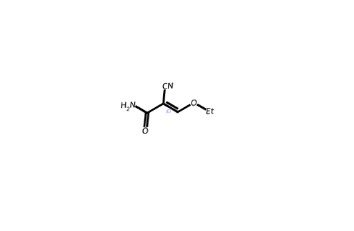 CCO/C=C(\C#N)C(N)=O